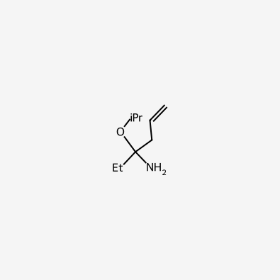 [CH2]CC(N)(CC=C)OC(C)C